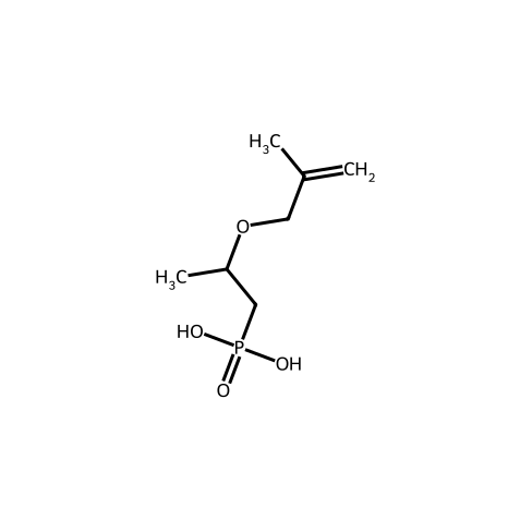 C=C(C)COC(C)CP(=O)(O)O